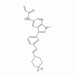 C=CC(=O)Nc1cnc2c(c1)c(-c1cccc(C=CC3CCC(F)(F)CC3)c1)cn2C